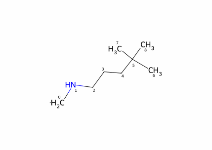 [CH2]NCCCC(C)(C)C